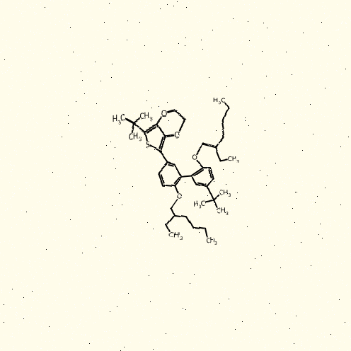 CCCCC(CC)COc1ccc(-c2sc(C(C)(C)C)c3c2OCCO3)cc1-c1cc(C(C)(C)C)ccc1OCC(CC)CCCC